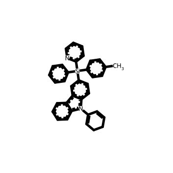 Cc1ccc([Si](c2ccccc2)(c2ccc3c(c2)c2ccccc2n3C2=CCCC=C2)c2ccccn2)cc1